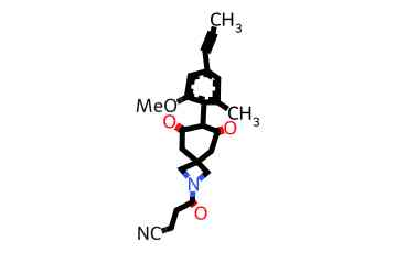 CC#Cc1cc(C)c(C2C(=O)CC3(CC2=O)CN(C(=O)CCC#N)C3)c(OC)c1